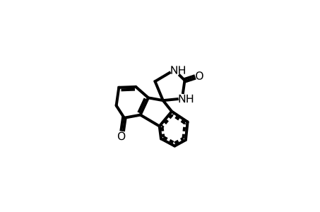 O=C1NCC2(N1)C1=C(C(=O)CC=C1)c1ccccc12